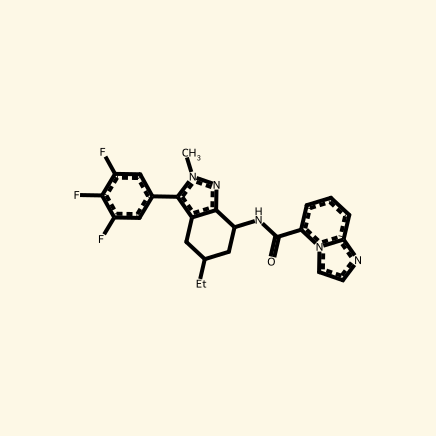 CCC1Cc2c(nn(C)c2-c2cc(F)c(F)c(F)c2)C(NC(=O)c2cccc3nccn23)C1